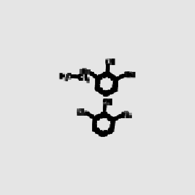 CC.CC(C)(C)c1cccc(C(C)(C)C)c1C#N.CC(C)(C)c1cccc(C(C)(C)C)c1C#N